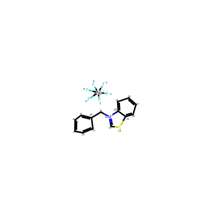 [F][Sb-]([F])([F])([F])([F])[F].c1ccc(C[n+]2csc3ccccc32)cc1